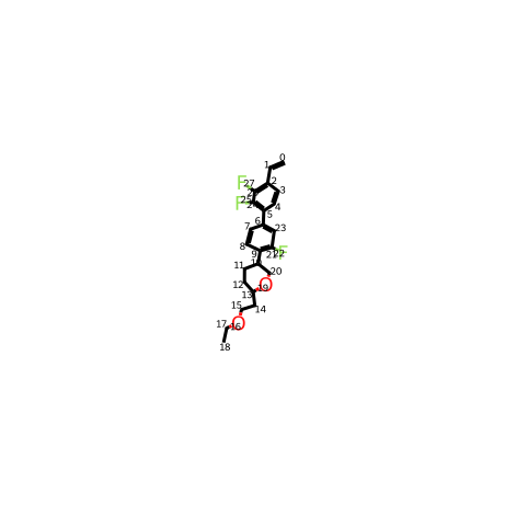 C=Cc1ccc(-c2ccc(C3CCC(CCOCC)OC3)c(F)c2)c(F)c1F